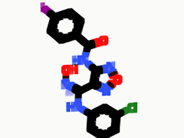 O=C(Nc1nonc1/C(=N\O)Nc1cccc(Cl)c1)c1ccc(I)cc1